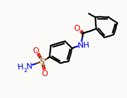 Cc1ccccc1C(=O)Nc1ccc(S(N)(=O)=O)cc1